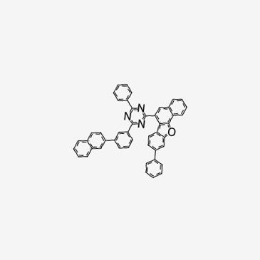 c1ccc(-c2ccc3c(c2)oc2c4ccccc4cc(-c4nc(-c5ccccc5)nc(-c5cccc(-c6ccc7ccccc7c6)c5)n4)c32)cc1